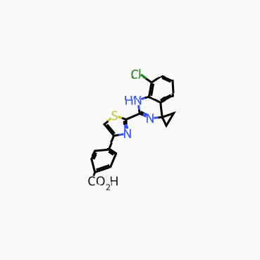 O=C(O)c1ccc(-c2csc(C3=NC4(CC4)c4cccc(Cl)c4N3)n2)cc1